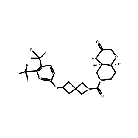 O=C1CO[C@H]2CCN(C(=O)N3CC4(CC(Oc5ccc(C(F)(F)F)c(C(F)(F)F)n5)C4)C3)C[C@H]2N1